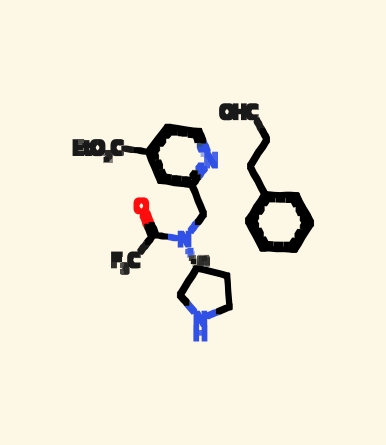 CCOC(=O)c1ccnc(CN(C(=O)C(F)(F)F)[C@@H]2CCNC2)c1.O=CCCc1ccccc1